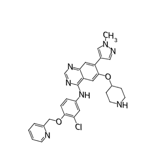 Cn1cc(-c2cc3ncnc(Nc4ccc(OCc5ccccn5)c(Cl)c4)c3cc2OC2CCNCC2)cn1